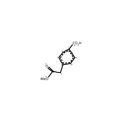 COC(=O)Cc1ccc(C(=O)O)cc1